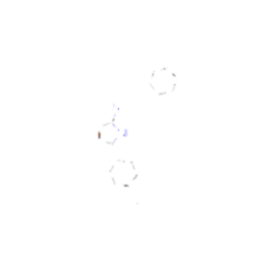 Brc1ccc(-c2csc(=NCCc3ccccc3)[nH]2)cc1